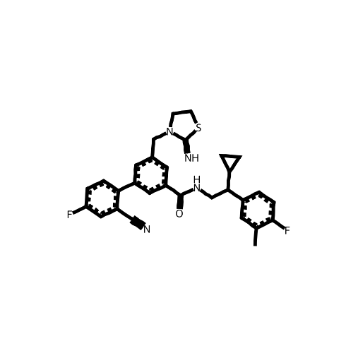 Cc1cc(C(CNC(=O)c2cc(CN3CCSC3=N)cc(-c3ccc(F)cc3C#N)c2)C2CC2)ccc1F